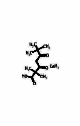 CC(C)(C)C(=O)CC(=O)C(C)(C)C(=O)O.[GaH3]